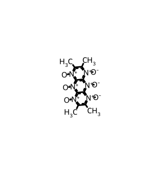 Cc1c(C)[n+]([O-])c2c([n+]1[O-])[n+]([O-])c1c([n+]([O-])c(C)c(C)[n+]1[O-])[n+]2[O-]